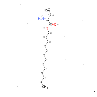 CCCCCCCCCCCCCOC(=O)[C@@H](N)C[SeH]